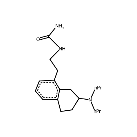 CCCN(CCC)C1CCc2cccc(CCNC(N)=O)c2C1